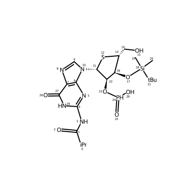 CC(C)C(=O)Nc1nc2c(ncn2[C@@H]2S[C@H](CO)[C@@H](O[Si](C)(C)C(C)(C)C)[C@H]2O[PH](=O)O)c(=O)[nH]1